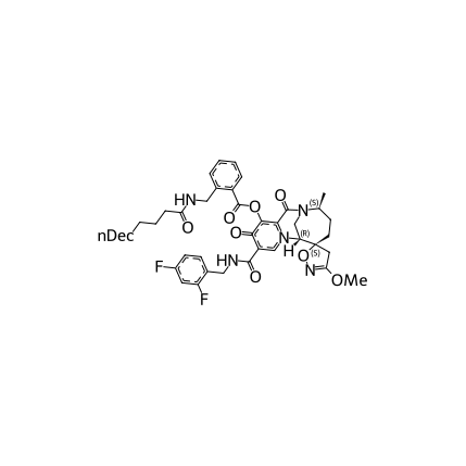 CCCCCCCCCCCCCC(=O)NCc1ccccc1C(=O)Oc1c2n(cc(C(=O)NCc3ccc(F)cc3F)c1=O)[C@@H]1CN(C2=O)[C@@H](C)CC[C@]12CC(OC)=NO2